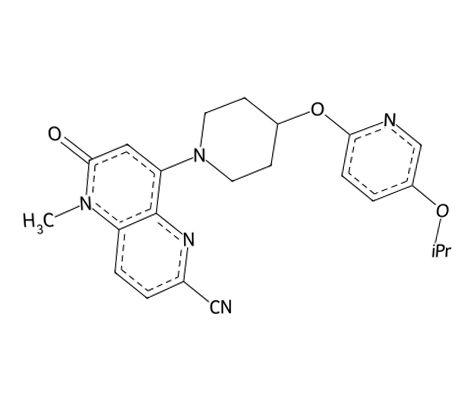 CC(C)Oc1ccc(OC2CCN(c3cc(=O)n(C)c4ccc(C#N)nc34)CC2)nc1